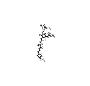 Cc1ccc(CCCC(=O)NCCCC[C@H](NC(=O)CC(C)C)C(=O)NCCOC(C)C)cc1